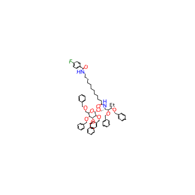 CC[C@@H](OCc1ccccc1)[C@@H](OCc1ccccc1)[C@H](CO[C@H]1OC(COCc2ccccc2)[C@H](OCc2ccccc2)C(OCc2ccccc2)C1OCc1ccccc1)NC(=O)CCCCCCCCCCCNC(=O)c1ccc(F)cc1